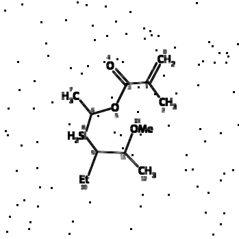 C=C(C)C(=O)OC(C)[SiH2]C(CC)C(C)OC